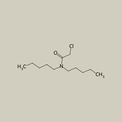 CCCCCN(CCCCC)C(=O)CCl